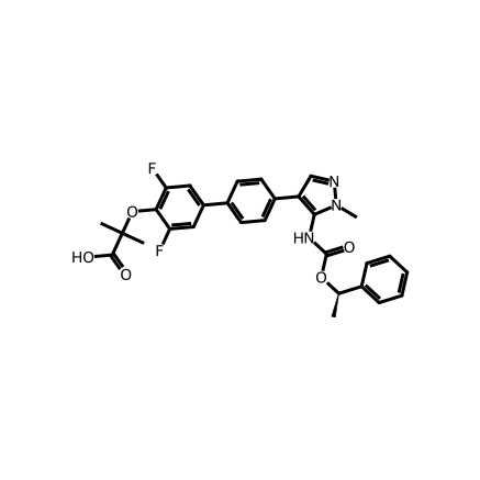 C[C@@H](OC(=O)Nc1c(-c2ccc(-c3cc(F)c(OC(C)(C)C(=O)O)c(F)c3)cc2)cnn1C)c1ccccc1